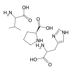 CC(C)C(N)C(=O)O.NC(Cc1c[nH]cn1)C(=O)O.O=C(O)[C@@H]1CCCN1